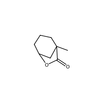 CC12CCCC(C1)OC2=O